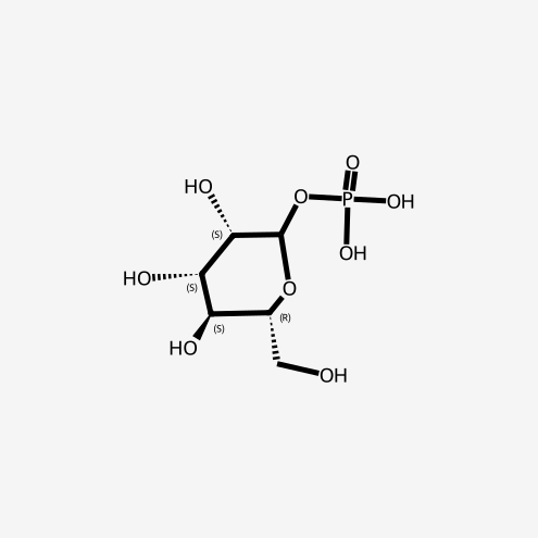 O=P(O)(O)OC1O[C@H](CO)[C@@H](O)[C@H](O)[C@@H]1O